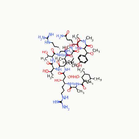 COC(c1ccc(O)cc1)C(NC(=O)[C@H](CCC(N)=O)N(C)C(=O)[C@H](CC(C)C)NC(=O)[C@@H](CCCNC(=N)N)NC(=O)[C@@H](NC(=O)[C@@H](NC(=O)[C@@H](NC(=O)[C@H](O)[C@H](O)[C@H](CCCNC(=N)N)NC(=O)[C@H](C)NC(=O)[C@H](C)[C@H](O)[C@@H](C)CC(C)C)[C@@H](C)[C@@H](C)C(N)=O)[C@@H](C)O)[C@@H](C)O)C(=O)N(C)[C@@H](C)C(=O)O